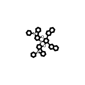 c1ccc(-n2c3ccccc3c3c4c(ccc32)B2c3ccc5c(c3Oc3c(-c6ccc7ccccc7c6)cc(-c6ccc7ccccc7c6)c(c32)O4)c2ccccc2n5-c2ccccc2)cc1